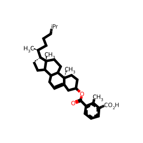 Cc1c(C(=O)O)cccc1C(=O)OC1CC[C@@]2(C)C(=CCC3C2CC[C@@]2(C)C3CC[C@@H]2[C@H](C)CCCC(C)C)C1